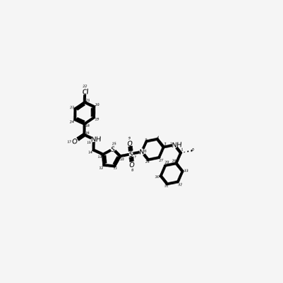 C[C@@H](NC1CCN(S(=O)(=O)c2ccc(CNC(=O)c3ccc(Cl)cc3)s2)CC1)C1CCCCC1